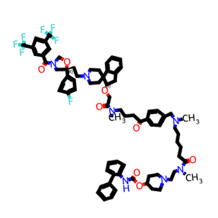 CN(CCCCCC(=O)N(C)CCN1CCC(OC(=O)Nc2ccccc2-c2ccccc2)CC1)Cc1ccc(C(=O)CCCN(C)C(=O)CO[C@H]2Cc3ccccc3C23CCN(CC[C@@]2(c4ccc(F)cc4)CN(C(=O)c4cc(C(F)(F)F)cc(C(F)(F)F)c4)CO2)CC3)cc1